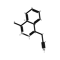 Cc1nnc(CC#N)c2ccccc12